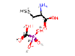 NC(C[SeH])C(=O)O.O=C(O)P(=O)(O)O